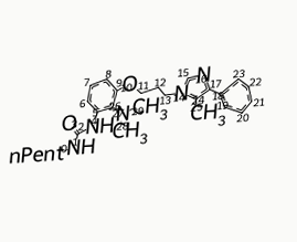 CCCCCNC(=O)Nc1cccc(OCCCn2cnc(-c3ccccc3)c2C)c1N(C)C